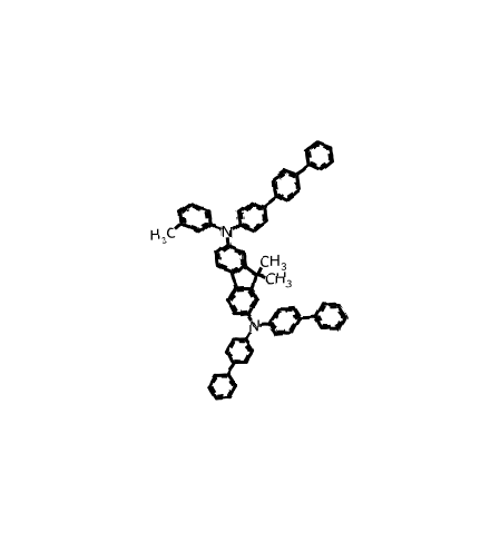 Cc1cccc(N(c2ccc(-c3ccc(-c4ccccc4)cc3)cc2)c2ccc3c(c2)C(C)(C)c2cc(N(c4ccc(-c5ccccc5)cc4)c4ccc(-c5ccccc5)cc4)ccc2-3)c1